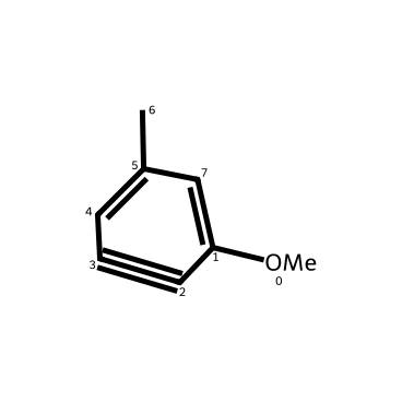 COc1c#ccc(C)c1